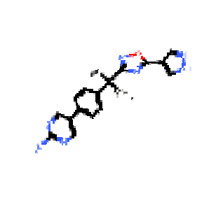 CC(C)C(C)(c1ccc(-c2cnc(N)nc2)cc1)c1noc(-c2cn[nH]c2)n1